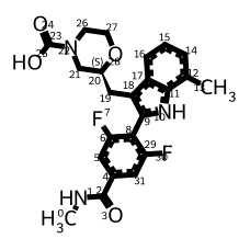 CNC(=O)c1cc(F)c(-c2[nH]c3c(C)cccc3c2C[C@H]2CN(C(=O)O)CCO2)c(F)c1